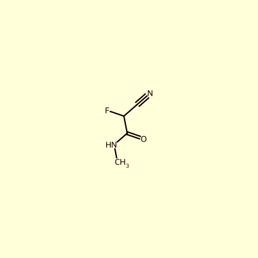 CNC(=O)C(F)C#N